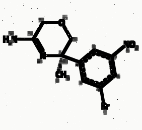 C[C@@]1(c2cc(Br)cc([N+](=O)[O-])c2)COCC(N)=N1